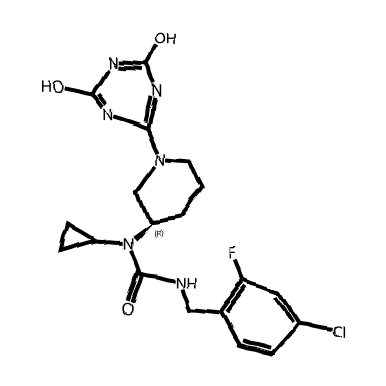 O=C(NCc1ccc(Cl)cc1F)N(C1CC1)[C@@H]1CCCN(c2nc(O)nc(O)n2)C1